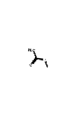 CC(=O)OI